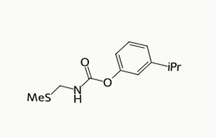 CSCNC(=O)Oc1cccc(C(C)C)c1